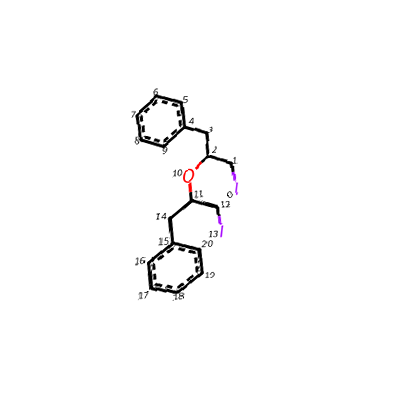 ICC(Cc1ccccc1)OC(CI)Cc1ccccc1